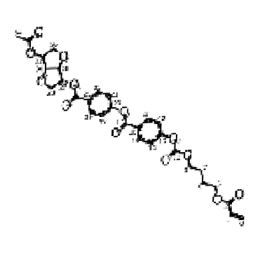 C=CC(=O)OCCCCOC(=O)Oc1ccc(C(=O)Oc2ccc(C(=O)O[C@@H]3COC4C(OC(C)=O)COC43)cc2)cc1